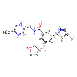 Cc1cnc(CNC(=O)c2cc(OC3CCOC3)cc(-c3ncc(Cl)s3)c2)cn1